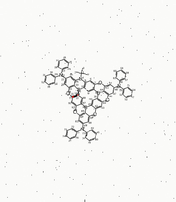 CC(C)(C)N1c2cc3c(cc2B2c4ccccc4Oc4cc(N(c5ccccc5)c5ccccc5)cc1c42)B1c2cc4c(cc2Oc2cc(N(c5ccccc5)c5ccccc5)cc(c21)O3)Oc1cc(N(c2ccccc2)c2ccccc2)cc2c1B4c1ccccc1O2